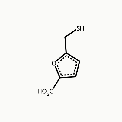 O=C(O)c1ccc(CS)o1